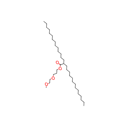 CCCCCCCCCCCCCCC(CCCCCCCCCCCCCC)C(=O)OCCCOCCOC